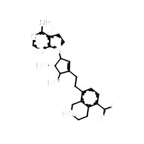 Nc1ncnc2c1ccn2C1C=C(CCc2ccc(C(F)F)c3c2CNCC3)C(O)[C@@H]1O